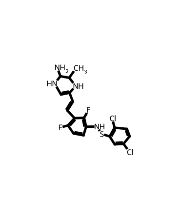 CC1NC(C=Cc2c(F)ccc(NSc3cc(Cl)ccc3Cl)c2F)=CNC1N